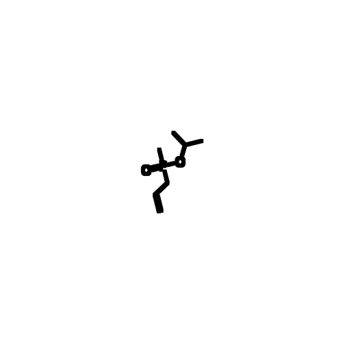 C=CCP(C)(=O)OC(C)C